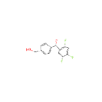 O=C(c1ccc(CO)cc1)c1cc(F)c(F)cc1F